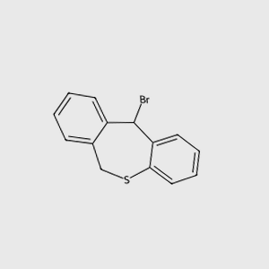 BrC1c2ccccc2CSc2ccccc21